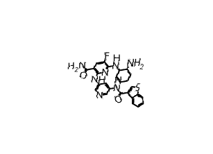 NC(=O)c1cc(F)c(NC2CCCC[C@@H]2N)nc1Nc1cncc(NC(=O)c2csc3ccccc23)c1